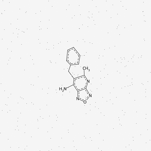 Cc1nc2nonc2c(N)c1Cc1ccccc1